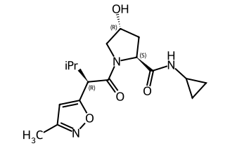 Cc1cc([C@H](C(=O)N2C[C@H](O)C[C@H]2C(=O)NC2CC2)C(C)C)on1